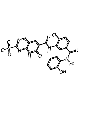 CCN(C(=O)c1ccc(Cl)c(NC(=O)c2cc3cnc(S(C)(=O)=O)nc3[nH]c2=O)c1)c1ccccc1O